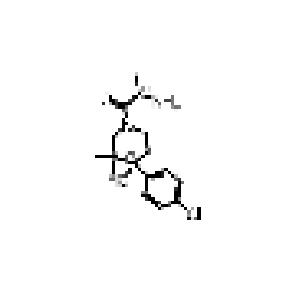 C[C@@H](N)C(=O)N1CC[C@](O)(c2ccc(Cl)cc2)C(C)(C)C1